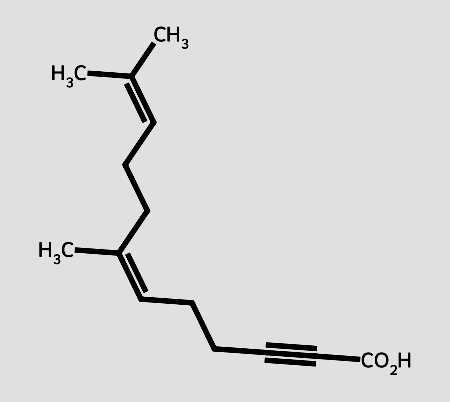 CC(C)=CCCC(C)=CCCC#CC(=O)O